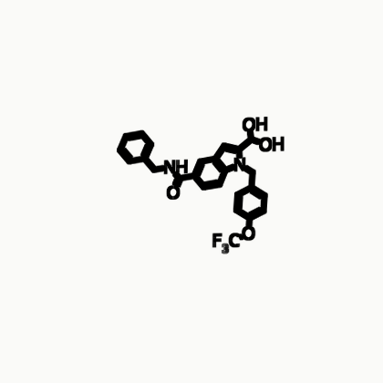 O=C(NCc1ccccc1)c1ccc2c(c1)cc(C(O)O)n2Cc1ccc(OC(F)(F)F)cc1